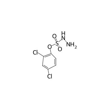 NNS(=O)(=O)Oc1ccc(Cl)cc1Cl